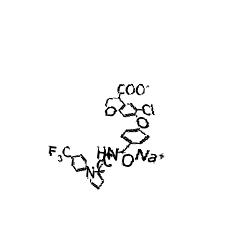 O=C(NCCc1cccn1-c1ccc(C(F)(F)F)cc1)c1ccc(Oc2cc3c(cc2Cl)C(C(=O)[O-])CCO3)cc1.[Na+]